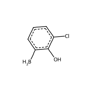 Bc1cccc(Cl)c1O